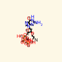 N#CCCOC1C[C@H](n2cnc3c(=O)[nH]c(N)nc32)O[C@@H]1COP(=O)(O)OP(=O)(O)OP(=O)(O)O